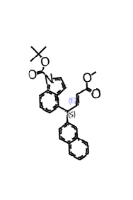 COC(=O)/C=C/[C@@H](c1ccc2ccccc2c1)c1cccc2c1ccn2C(=O)OC(C)(C)C